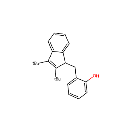 CC(C)(C)C1=C(C(C)(C)C)C(Cc2ccccc2O)c2ccccc21